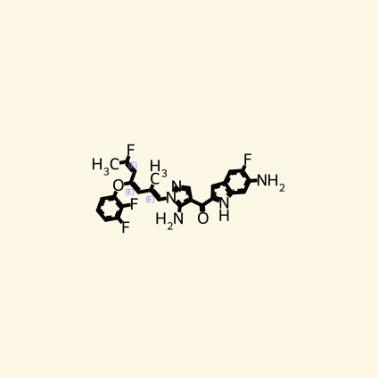 C\C(F)=C/C(=C\C(C)=C\n1ncc(C(=O)c2cc3cc(F)c(N)cc3[nH]2)c1N)Oc1cccc(F)c1F